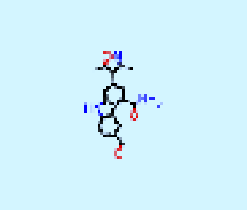 Cc1noc(C)c1-c1cc(C(N)=O)c2c(c1)[nH]c1ccc(C=O)cc12